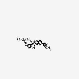 CN(C)CCOc1cc(C(=O)Nc2cc3nc(-c4cnn(C)c4)ccc3cn2)ccn1